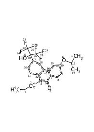 CCCCn1c(=O)c2ccc(OC(C)C)cc2c2cc(C(O)(C(F)(F)F)C(F)(F)F)ccc21